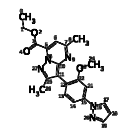 CCOC(=O)c1cc(C)nc2c(-c3ccc(-n4cccn4)cc3OC)c(C)nn12